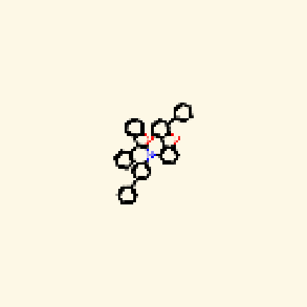 c1ccc(-c2ccc(N(c3oc4ccccc4c3-c3ccccc3)c3cccc4oc5c(-c6ccccc6)cccc5c34)cc2)cc1